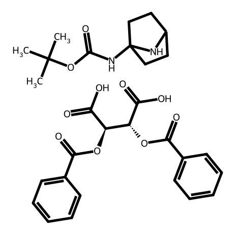 CC(C)(C)OC(=O)NC12CCC(CC1)N2.O=C(O[C@@H](C(=O)O)[C@@H](OC(=O)c1ccccc1)C(=O)O)c1ccccc1